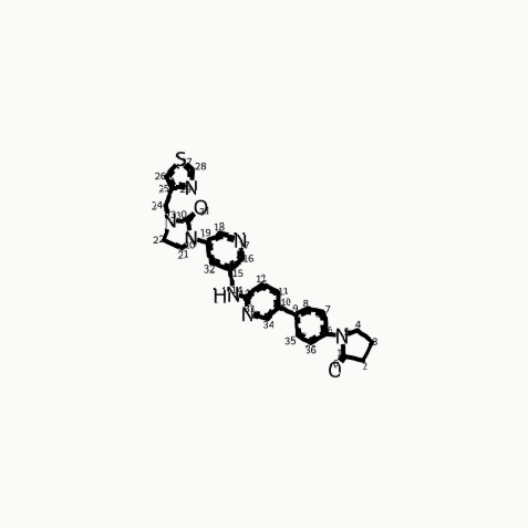 O=C1CCCN1c1ccc(-c2ccc(Nc3cncc(N4CCN(Cc5cscn5)C4=O)c3)nc2)cc1